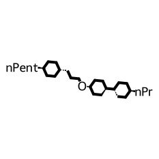 CCCCC[C@H]1CC[C@H](CCCO[C@H]2CC[C@H]([C@H]3CC[C@H](CCC)CC3)CC2)CC1